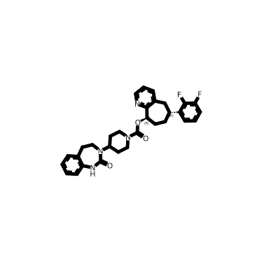 O=C(O[C@@H]1CC[C@@H](c2cccc(F)c2F)Cc2cccnc21)N1CCC(N2CCc3ccccc3NC2=O)CC1